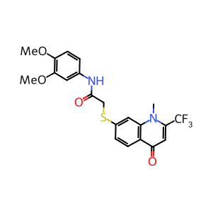 COc1ccc(NC(=O)CSc2ccc3c(=O)cc(C(F)(F)F)n(C)c3c2)cc1OC